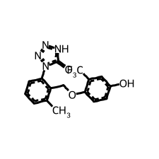 Cc1cccc(-n2nn[nH]c2=O)c1COc1ccc(O)cc1C(F)(F)F